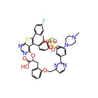 Cc1c(-c2c(-c3ccc(F)cc3)sc3ncnc(OC(Cc4ccccc4OCc4ccnc(-c5cccc(S(=O)(=O)O)c5)n4)C(=O)O)c23)ccc(OCCN2CCN(C)CC2)c1Cl